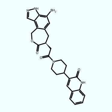 Bc1cc2c(c3cn[nH]c13)COC(=O)[C@H](CC(=O)N1CCC(c3cc4ccccc4[nH]c3=O)CC1)C2